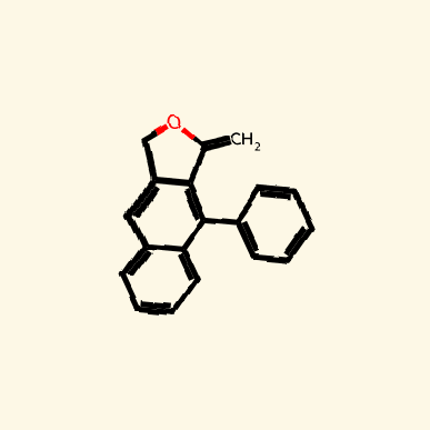 C=C1OCc2cc3ccccc3c(-c3ccccc3)c21